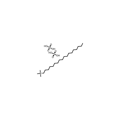 CCCCCCCCCCCCCCCCCC[N+](C)(C)C.O=S(=O)(O)O.O=S(=O)(O)O